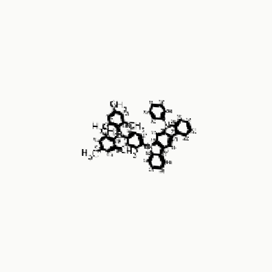 Cc1cc(C)c(B(c2ccc(-n3c4ccccc4c4cc5c6ccccc6n(-c6ccccc6)c5cc43)cc2)c2c(C)cc(C)cc2C)c(C)c1